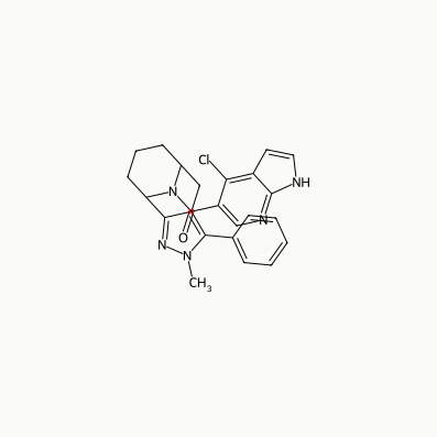 Cn1nc2c(c1-c1ccccc1)CC1CCCC2N1C(=O)c1cnc2[nH]ccc2c1Cl